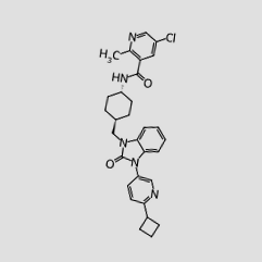 Cc1ncc(Cl)cc1C(=O)N[C@H]1CC[C@H](Cn2c(=O)n(-c3ccc(C4CCC4)nc3)c3ccccc32)CC1